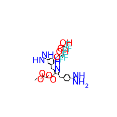 CCOC(=O)COC(=O)c1c(Cc2ccc(C(=N)N)cc2)c[nH]c1Cc1cccc(C(=N)N)c1.O=C(O)C(F)(F)F.O=C(O)C(F)(F)F